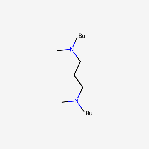 CCC(C)N(C)CCCN(C)C(C)CC